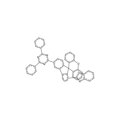 c1ccc(-c2nc(-c3ccccc3)nc(-c3ccc4c(c3)-c3cccc(-c5nc6ccccc6o5)c3C43c4ccccc4Oc4ccccc43)n2)cc1